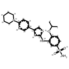 CC(C)Oc1ccc(S(N)(=O)=O)cc1Nc1nc(-c2ccc(N3CCCCC3)nc2)cs1